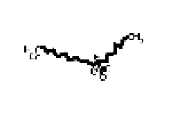 CCCCCCCCCCCC(F)(CCCCCCC)S(=O)(=O)[O-].[Li+]